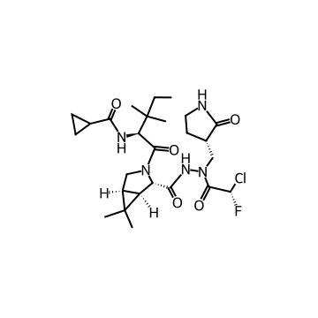 CCC(C)(C)[C@H](NC(=O)C1CC1)C(=O)N1C[C@H]2[C@@H]([C@H]1C(=O)NN(C[C@@H]1CCNC1=O)C(=O)[C@@H](F)Cl)C2(C)C